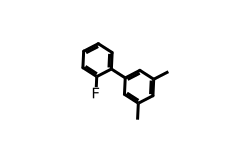 Cc1cc(C)cc(-c2ccccc2F)c1